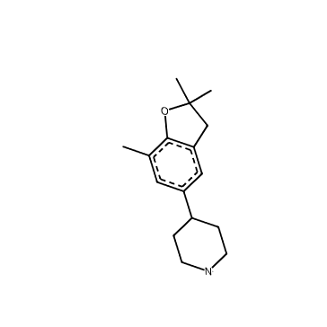 Cc1cc(C2CC[N]CC2)cc2c1OC(C)(C)C2